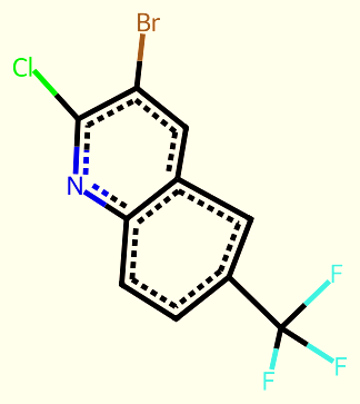 FC(F)(F)c1ccc2nc(Cl)c(Br)cc2c1